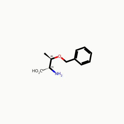 C[C@@H](OCc1ccccc1)[C@H](N)C(=O)O